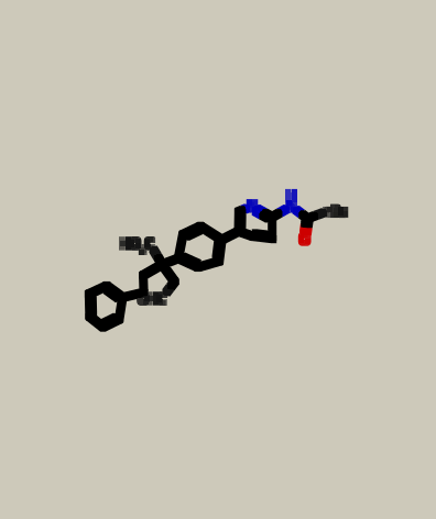 CCCCC(=O)Nc1ccc(-c2ccc(C(CC=O)(CCc3ccccc3)C(=O)O)cc2)cn1